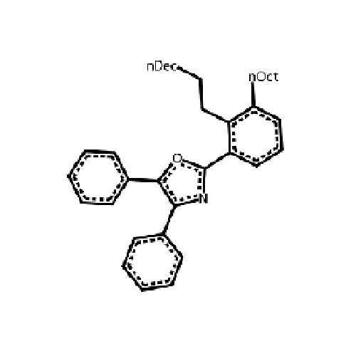 CCCCCCCCCCCCc1c(CCCCCCCC)cccc1-c1nc(-c2ccccc2)c(-c2ccccc2)o1